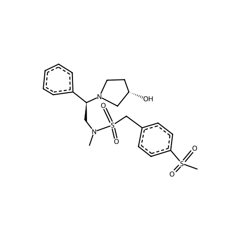 CN(C[C@@H](c1ccccc1)N1CC[C@H](O)C1)S(=O)(=O)Cc1ccc(S(C)(=O)=O)cc1